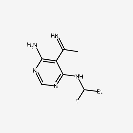 CCC(I)Nc1ncnc(N)c1C(C)=N